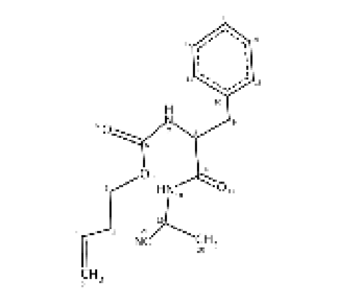 C=CCCOC(=O)NC(Cc1ccccc1)C(=O)NC(C)C#N